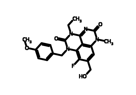 CCN1C(=O)N(Cc2ccc(OC)cc2)c2c(F)c(CO)cc3c2c1nc(=O)n3C